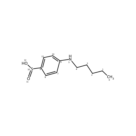 CCCCCNc1ccc(S(=O)O)cc1